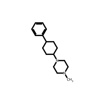 CN1CCN(C2CCC(c3ccccc3)CC2)CC1